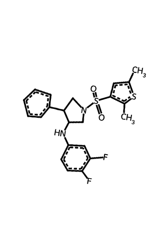 Cc1cc(S(=O)(=O)N2CC(Nc3ccc(F)c(F)c3)C(c3ccccc3)C2)c(C)s1